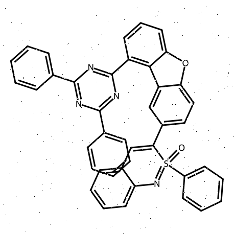 O=S1(c2ccccc2)=Nc2ccccc2C=C1c1ccc2oc3cccc(-c4nc(-c5ccccc5)nc(-c5ccccc5)n4)c3c2c1